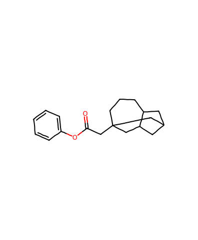 O=C(CC12CCCC3CC(CC3C1)C2)Oc1ccccc1